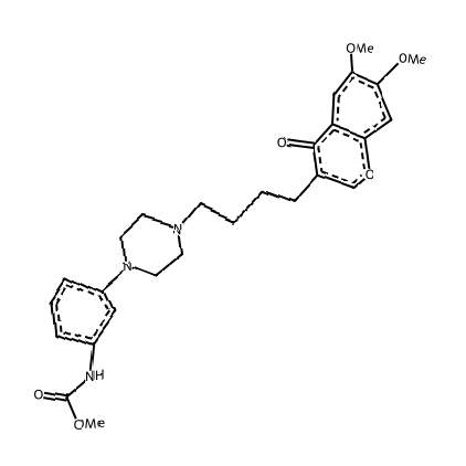 COC(=O)Nc1cccc(N2CCN(CCCCc3coc4cc(OC)c(OC)cc4c3=O)CC2)c1